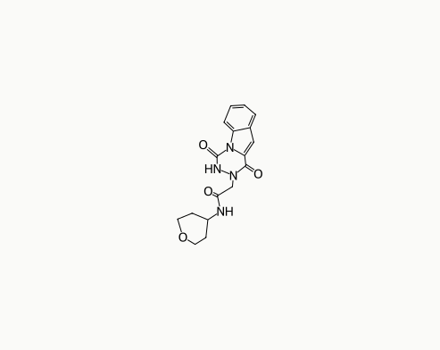 O=C(Cn1[nH]c(=O)n2c(cc3ccccc32)c1=O)NC1CCOCC1